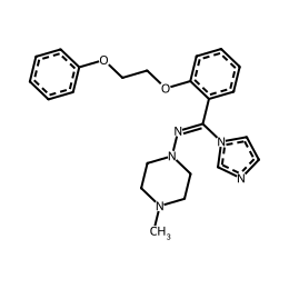 CN1CCN(N=C(c2ccccc2OCCOc2ccccc2)n2ccnc2)CC1